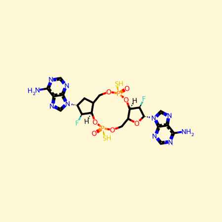 Nc1ncnc2c1ncn2[C@@H]1CC2CO[P@@](=O)(S)O[C@@H]3C(CO[P@@](=O)(S)O[C@H]2[C@H]1F)O[C@@H](n1cnc2c(N)ncnc21)[C@@H]3F